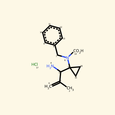 C=C(C)C(N)C1(N(Cc2ccccc2)C(=O)O)CC1.Cl